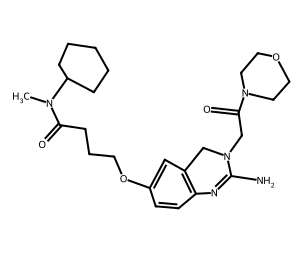 CN(C(=O)CCCOc1ccc2c(c1)CN(CC(=O)N1CCOCC1)C(N)=N2)C1CCCCC1